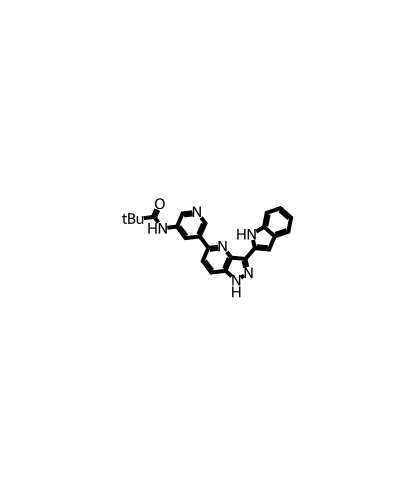 CC(C)(C)C(=O)Nc1cncc(-c2ccc3[nH]nc(-c4cc5ccccc5[nH]4)c3n2)c1